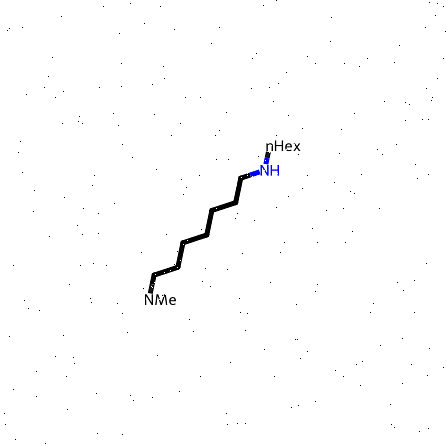 CCCCCCNCCCCCCCNC